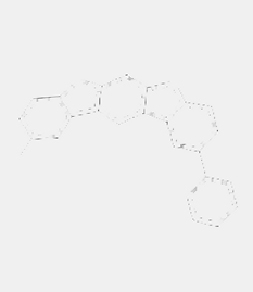 Brc1ccc2oc3cc4oc5ccc(-c6ccccc6)cc5c4cc3c2c1